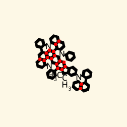 CC1(C)c2cc(N(c3ccccc3)c3ccccc3-c3ccccc3)ccc2-c2cc3c(N(c4ccccc4)c4ccccc4-c4ccccc4)c4cc(N(c5ccccc5)c5ccccc5-c5ccccc5)ccc4c(N(c4ccccc4)c4ccccc4-c4ccccc4)c3cc21